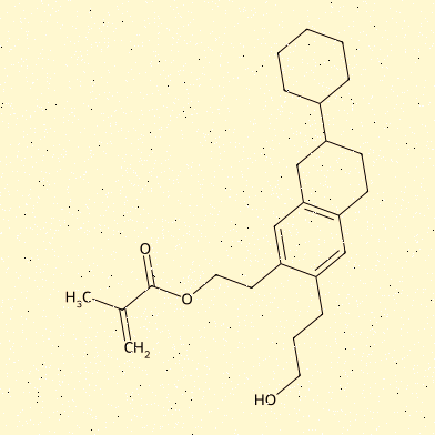 C=C(C)C(=O)OCCc1cc2c(cc1CCCO)CCC(C1CCCCC1)C2